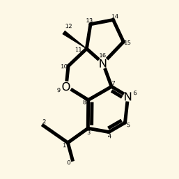 CC(C)c1ccnc2c1OC[C@]1(C)CCCN21